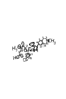 CN1CCc2ccc(NC(=O)[C@@H](CCC(=O)N(C)CCC(=O)O)NC(=O)c3ccc(Cl)s3)cc2CC1